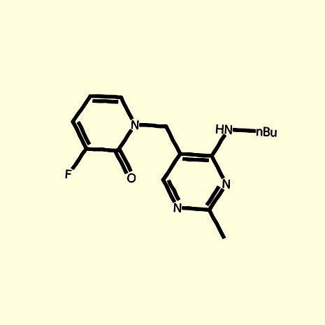 CCCCNc1nc(C)ncc1Cn1cccc(F)c1=O